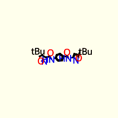 CC(C)(C)c1cc(NC(=O)c2ccc(NC(=O)C3=NOCC3C(C)(C)C)cc2)no1